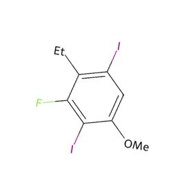 CCc1c(I)cc(OC)c(I)c1F